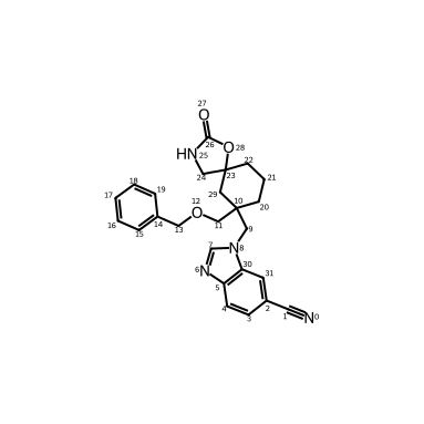 N#Cc1ccc2ncn(CC3(COCc4ccccc4)CCCC4(CNC(=O)O4)C3)c2c1